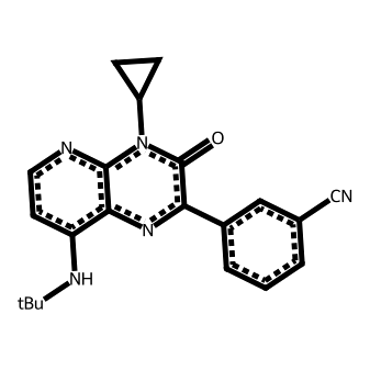 CC(C)(C)Nc1ccnc2c1nc(-c1cccc(C#N)c1)c(=O)n2C1CC1